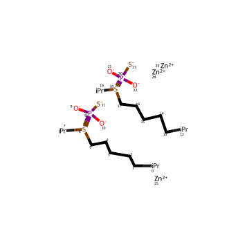 CC(C)CCCCCS(C(C)C)=P([O-])([O-])[S-].CC(C)CCCCCS(C(C)C)=P([O-])([O-])[S-].[Zn+2].[Zn+2].[Zn+2]